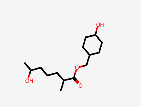 CC(O)CCCC(C)C(=O)OCC1CCC(O)CC1